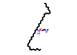 CCCCC/C=C\C/C=C\CCCCCCCCC(CCCCCCCC/C=C\C/C=C\CCCCC)NOCCN(C)C